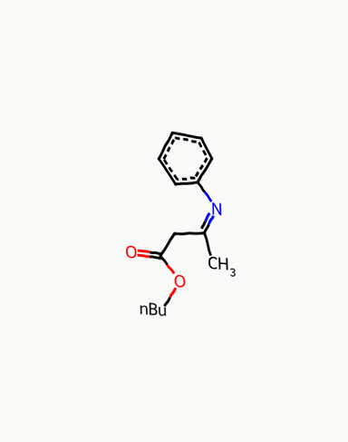 CCCCOC(=O)CC(C)=Nc1ccccc1